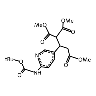 COC(=O)CC(c1ccc(NC(=O)OC(C)(C)C)nc1)C(C(=O)OC)C(=O)OC